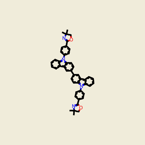 CC1(C)COC(c2ccc(-n3c4ccccc4c4cc(-c5ccc6c(c5)c5ccccc5n6-c5ccc(C6=NC(C)(C)CO6)cc5)ccc43)cc2)=N1